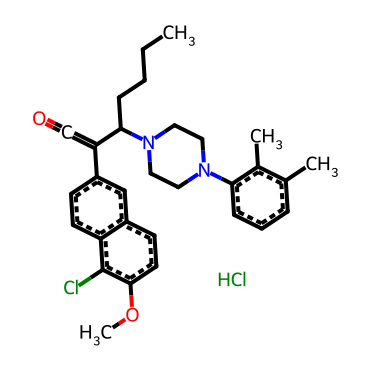 CCCCC(C(=C=O)c1ccc2c(Cl)c(OC)ccc2c1)N1CCN(c2cccc(C)c2C)CC1.Cl